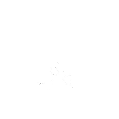 CCN(c1ccc([C@@H](COC)CC(=O)O)cc1Nc1ccc(C#N)cn1)C1CCOCC1